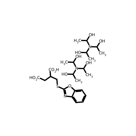 CC(O)N(C(C)O)C(C)O.CC(O)N(C(C)O)C(C)O.O=C(O)CC(CSc1nc2ccccc2o1)C(=O)O